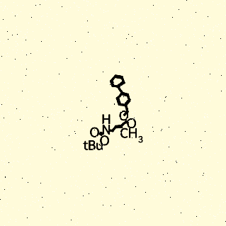 CC(=CCNC(=O)OC(C)(C)C)C(=O)OCc1ccc(-c2ccccc2)cc1